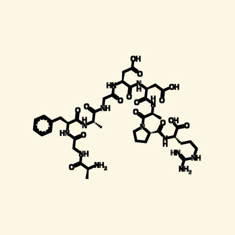 C[C@H](N)C(=O)NCC(=O)N[C@@H](Cc1ccccc1)C(=O)N[C@@H](C)C(=O)NCC(=O)N[C@@H](CC(=O)O)C(=O)N[C@@H](CC(=O)O)C(=O)N[C@@H](C)C(=O)N1CCC[C@H]1C(=O)N[C@@H](CCCNC(=N)N)C(=O)O